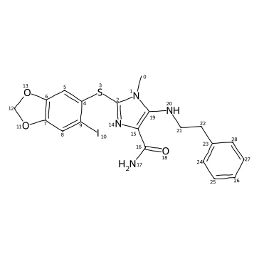 Cn1c(Sc2cc3c(cc2I)OCO3)nc(C(N)=O)c1NCCc1ccccc1